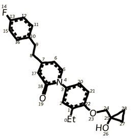 CCc1cc(-n2ccc(CCc3ccc(F)cc3)cc2=O)ccc1OCC1(O)CC1